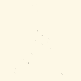 NS(=O)(=O)COc1ccc(-c2ncc(NCCCc3ccccc3)c(=O)n2CC(=O)NCc2cc3cnccc3[nH]2)cc1